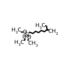 C=C(CC)CCCCCC[Si](OCC)(OCC)OCC